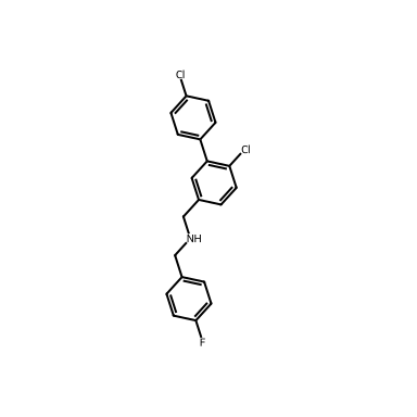 Fc1ccc(CNCc2ccc(Cl)c(-c3ccc(Cl)cc3)c2)cc1